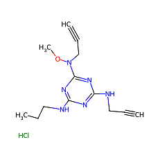 C#CCNc1nc(NCCC)nc(N(CC#C)OC)n1.Cl